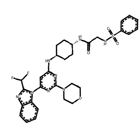 O=C(CNS(=O)(=O)c1ccccc1)N[C@H]1CC[C@H](Nc2cc(-n3c(C(F)F)nc4ccccc43)nc(N3CCOCC3)n2)CC1